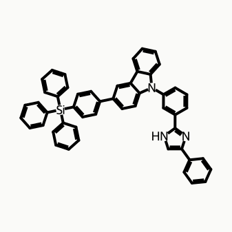 c1ccc(-c2c[nH]c(-c3cccc(-n4c5ccccc5c5cc(-c6ccc([Si](c7ccccc7)(c7ccccc7)c7ccccc7)cc6)ccc54)c3)n2)cc1